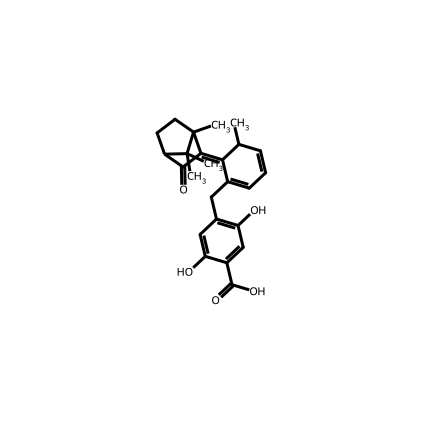 CC1C=CC=C(Cc2cc(O)c(C(=O)O)cc2O)C1=C1C(=O)C2CCC1(C)C2(C)C